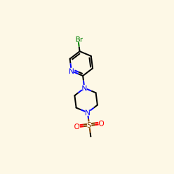 CS(=O)(=O)N1CCN(c2ccc(Br)cn2)CC1